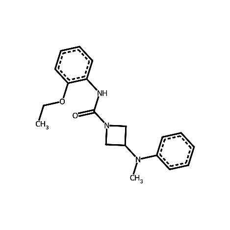 CCOc1ccccc1NC(=O)N1CC(N(C)c2ccccc2)C1